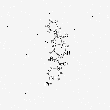 CC(C)N1CCN(C(=O)n2ncc3c4nn(-c5ccccc5)c(=O)c-4c[nH]c32)CC1